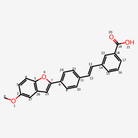 COc1ccc2oc(-c3ccc(/C=C/c4cccc(C(=O)O)c4)cc3)cc2c1